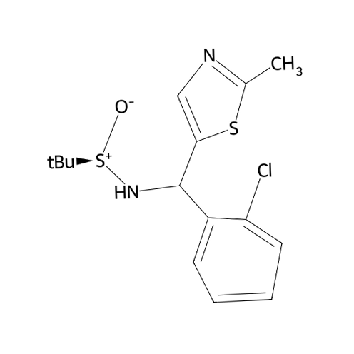 Cc1ncc(C(N[S@+]([O-])C(C)(C)C)c2ccccc2Cl)s1